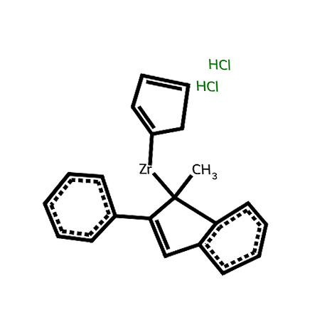 C[C]1([Zr][C]2=CC=CC2)C(c2ccccc2)=Cc2ccccc21.Cl.Cl